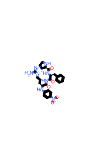 NC(N)=NCCC[C@H](Nc1ccc([N+](=O)[O-])cc1)C(=O)NC(=O)[C@H](Cc1ccccc1)NC(=O)[C@H]1CCCN1